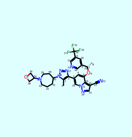 Cc1c(-c2cc(O[C@@H](C)c3cncc(C(F)(F)F)c3)c3c(C#N)cnn3c2)nnn1C1CCCN(C2COC2)CC1